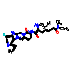 CC(C)Cc1ncc(F)c2nc(Cn3c(C(C)C)ccc(NC(=O)C(CC/C=C/C(=O)N(C)C)NC(=O)O)c3=O)[nH]c12